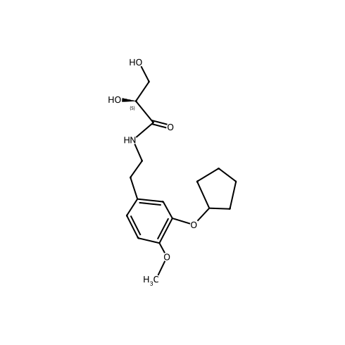 COc1ccc(CCNC(=O)[C@@H](O)CO)cc1OC1CCCC1